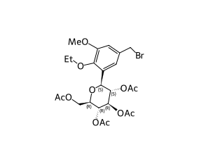 CCOc1c(OC)cc(CBr)cc1[C@@H]1O[C@H](COC(C)=O)[C@@H](OC(C)=O)[C@H](OC(C)=O)[C@H]1OC(C)=O